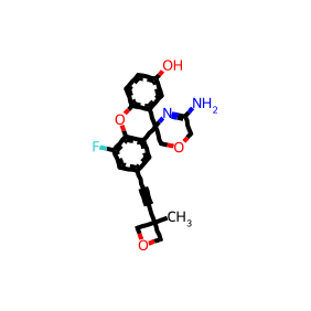 CC1(C#Cc2cc(F)c3c(c2)C2(COCC(N)=N2)c2cc(O)ccc2O3)COC1